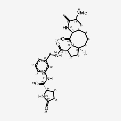 C=C(N[C@H]1CCCC[C@H]2CC[C@@H](C(=O)NCc3cccc(NC(=O)[C@@H]4CCC(=O)N4)c3)N2C1=O)[C@H](C)NC